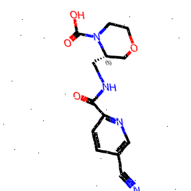 N#Cc1ccc(C(=O)NC[C@H]2COCCN2C(=O)O)nc1